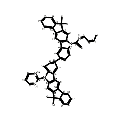 C=C(/N=C\C=C/C)n1c2ccc(-c3ccc4c(c3)c3cc5c(cc3n4-c3ncccn3)C(C)(C)c3ccccc3-5)cc2c2cc3c(cc21)C(C)(C)c1ccccc1-3